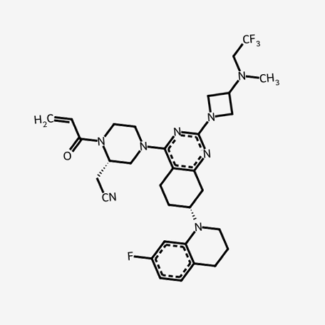 C=CC(=O)N1CCN(c2nc(N3CC(N(C)CC(F)(F)F)C3)nc3c2CC[C@@H](N2CCCc4ccc(F)cc42)C3)C[C@@H]1CC#N